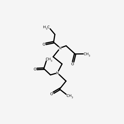 CCC(=O)N(CCN(CC(C)=O)CC(C)=O)CC(C)=O